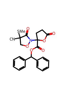 [C-]#[N+]C1(SC)CON(C2(C(=O)OC(c3ccccc3)c3ccccc3)CCC(=O)O2)C1=O